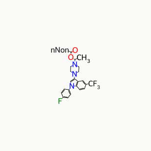 CCCCCCCCCC(=O)OC(C)N1CCN(c2cn(-c3ccc(F)cc3)c3ccc(C(F)(F)F)cc23)CC1